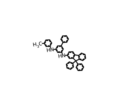 Cc1cccc(Nc2cc(Nc3ccc4c(c3)C(c3ccccc3)(c3ccccc3)c3ccccc3-4)cc(-c3ccccc3)c2)c1